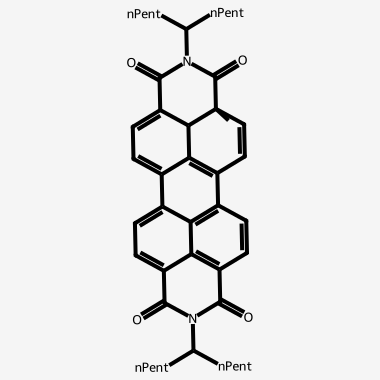 CCCCCC(CCCCC)N1C(=O)c2ccc3c4c5c(c6ccc(c2c36)C1=O)=CC=C1C(=O)N(C(CCCCC)CCCCC)C(=O)C(C)(C=C4)C15